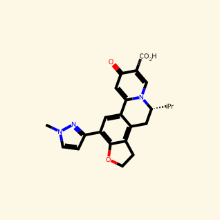 CC(C)[C@@H]1Cc2c(cc(-c3ccn(C)n3)c3c2CCO3)-c2cc(=O)c(C(=O)O)cn21